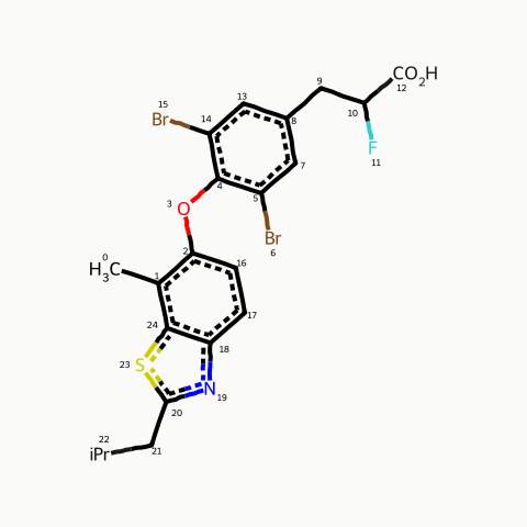 Cc1c(Oc2c(Br)cc(CC(F)C(=O)O)cc2Br)ccc2nc(CC(C)C)sc12